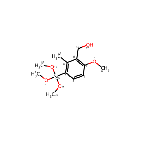 COc1ccc([Si](OC)(OC)OC)c(C)c1CO